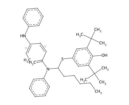 C=C(/C=C\C(=C/C)Nc1ccccc1)N(c1ccccc1)C(CCCCC)Sc1cc(C(C)(C)C)c(O)c(C(C)(C)C)c1